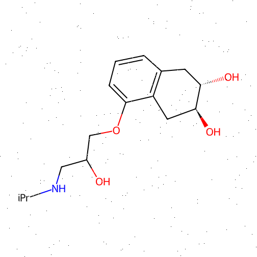 CC(C)NCC(O)COc1cccc2c1C[C@H](O)[C@@H](O)C2